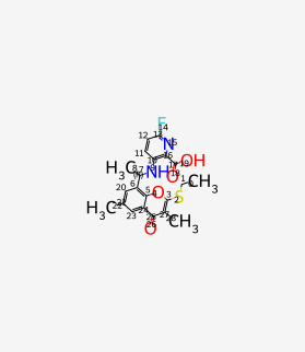 CCSc1oc2c([C@@H](C)Nc3ccc(F)nc3C(=O)O)cc(C)cc2c(=O)c1C